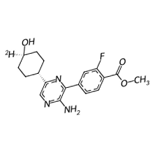 [2H][C@]1(O)CC[C@H](c2cnc(N)c(-c3ccc(C(=O)OC)c(F)c3)n2)CC1